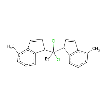 C[CH2][Zr]([Cl])([Cl])([CH]1C=Cc2c(C)cccc21)[CH]1C=Cc2c(C)cccc21